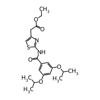 CCOC(=O)Cc1csc(NC(=O)c2cc(OC(C)C)cc(OC(C)C)c2)n1